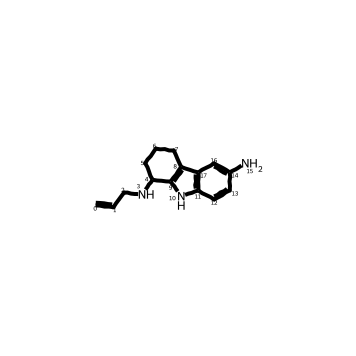 C=CCNC1CCCc2c1[nH]c1ccc(N)cc21